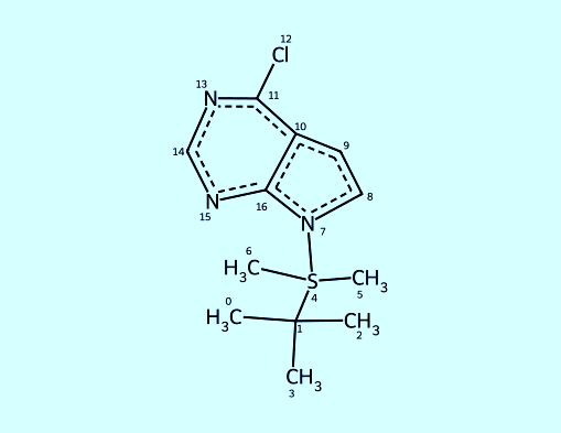 CC(C)(C)S(C)(C)n1ccc2c(Cl)ncnc21